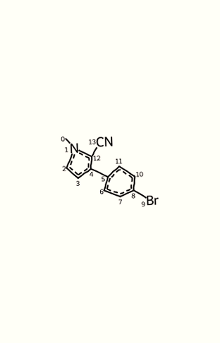 Cn1ccc(-c2ccc(Br)cc2)c1C#N